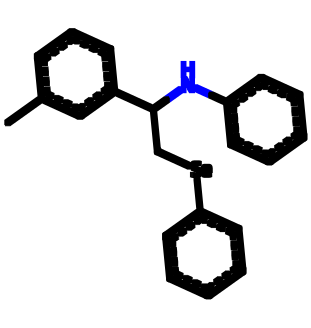 Cc1cccc(C(C[Se]c2ccccc2)Nc2ccccc2)c1